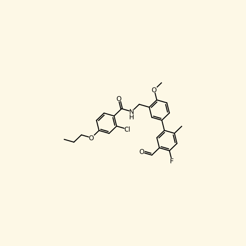 CCCOc1ccc(C(=O)NCc2cc(-c3cc(C=O)c(F)cc3C)ccc2OC)c(Cl)c1